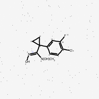 CN(O)/C(=N\O)C1(c2ccc(Cl)c(F)c2)CC1